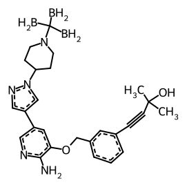 BC(B)(B)N1CCC(n2cc(-c3cnc(N)c(OCc4cccc(C#CC(C)(C)O)c4)c3)cn2)CC1